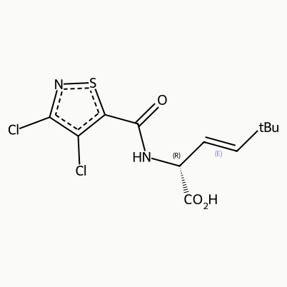 CC(C)(C)/C=C/[C@@H](NC(=O)c1snc(Cl)c1Cl)C(=O)O